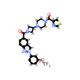 O=C(c1ccc2nn(-c3cccc(OC(F)(F)F)c3)cc2c1)N1CC(N2CCN(C(=O)c3cscn3)CC2)C1